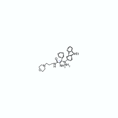 CCn1c2ccccc2c2cc(N(N)/C(=C(\N)C(=O)NCCCN3CCOCC3)c3ccccc3)ccc21